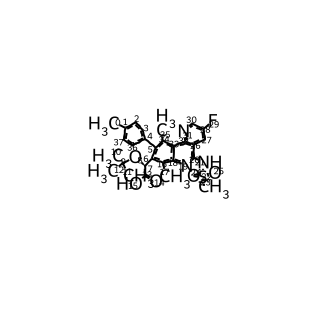 Cc1ccc(-c2c([C@H](OC(C)(C)C)C(=O)O)c(C)c3nc(NS(C)(=O)=O)c4cc(F)cnc4c3c2C)cc1